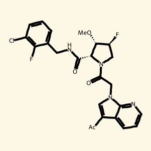 CO[C@H]1[C@@H](C(=O)NCc2cccc(Cl)c2F)N(C(=O)Cn2cc(C(C)=O)c3cccnc32)C[C@@H]1F